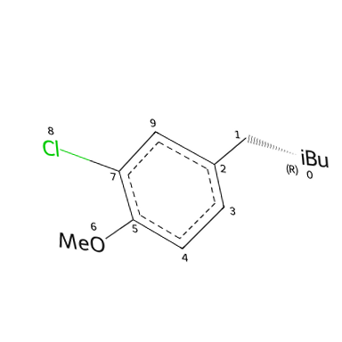 CC[C@@H](C)Cc1ccc(OC)c(Cl)c1